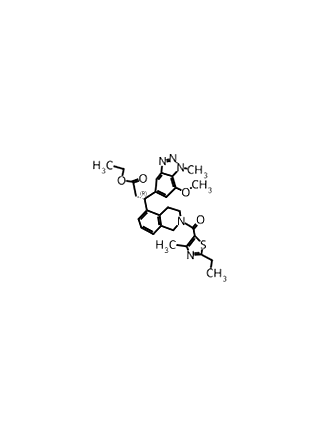 CCOC(=O)C[C@H](c1cc(OC)c2c(c1)nnn2C)c1cccc2c1CCN(C(=O)c1sc(CC)nc1C)C2